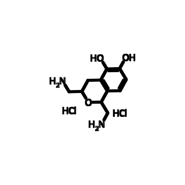 Cl.Cl.NCC1Cc2c(ccc(O)c2O)C(CN)O1